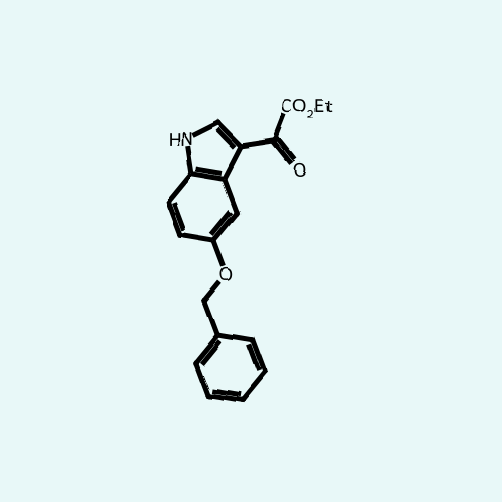 CCOC(=O)C(=O)c1c[nH]c2ccc(OCc3ccccc3)cc12